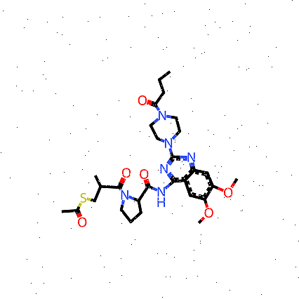 CCCC(=O)N1CCN(c2nc(NC(=O)C3CCCN3C(=O)C(C)CSC(C)=O)c3cc(OC)c(OC)cc3n2)CC1